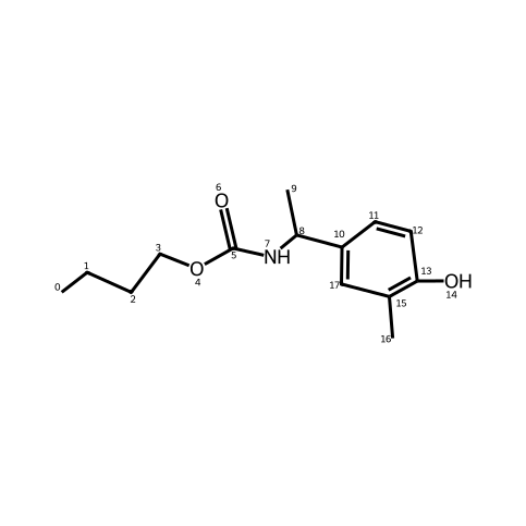 CCCCOC(=O)NC(C)c1ccc(O)c(C)c1